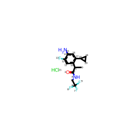 CC(C(=O)NCC(F)(F)F)c1cc(F)c(N)cc1C1CC1.Cl